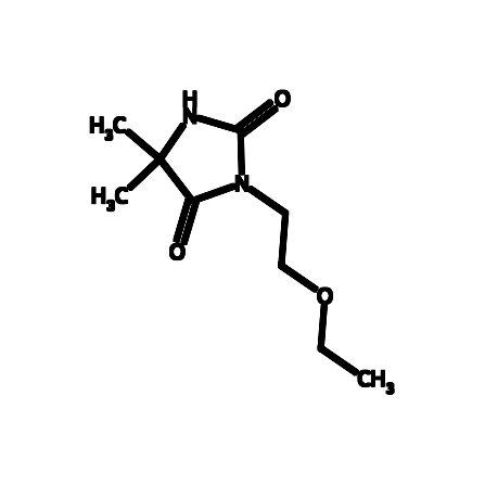 CCOCCN1C(=O)NC(C)(C)C1=O